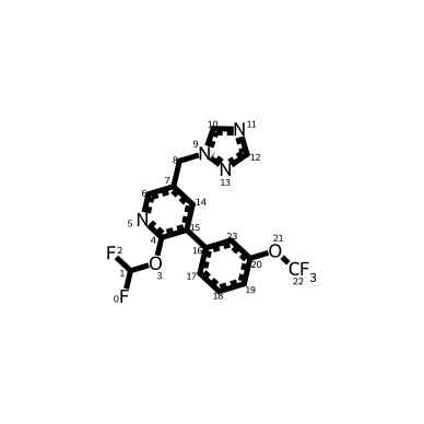 FC(F)Oc1ncc(Cn2cncn2)cc1-c1cccc(OC(F)(F)F)c1